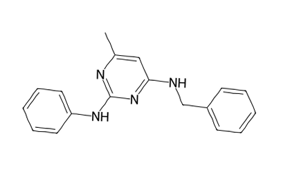 Cc1cc(NCc2ccccc2)nc(Nc2ccccc2)n1